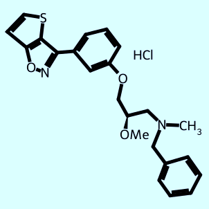 CO[C@@H](COc1cccc(-c2noc3ccsc23)c1)CN(C)Cc1ccccc1.Cl